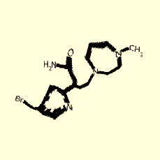 CN1CCCN(CC(C(N)=O)c2cc(Br)ccn2)CC1